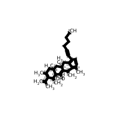 C#CCCCC#Cc1ccc(C)c2c1C[C@]1(C)C[C@]3(C)CC(C)=C(C(=C)C)C(=C)[C@]3(O)C(O)=C1C2=C